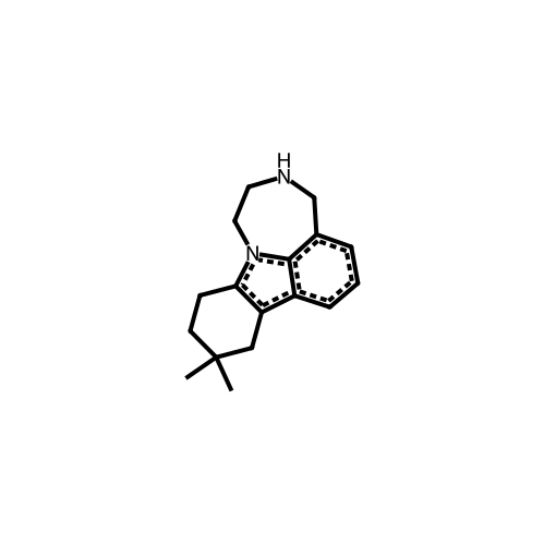 CC1(C)CCc2c(c3cccc4c3n2CCNC4)C1